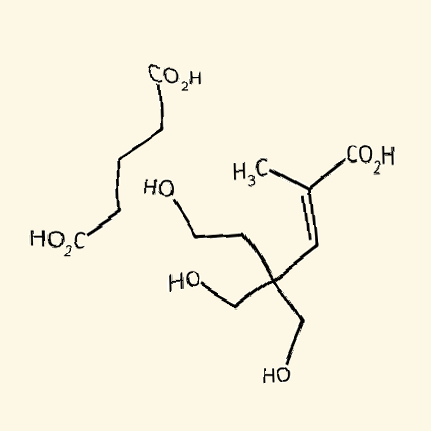 CC(=CC(CO)(CO)CCO)C(=O)O.O=C(O)CCCC(=O)O